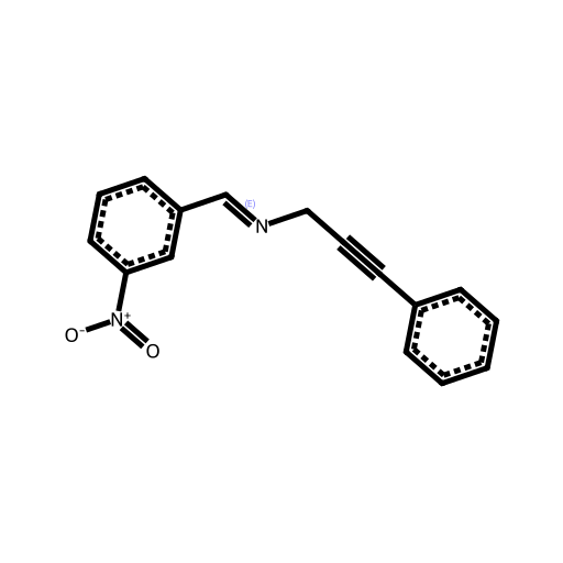 O=[N+]([O-])c1cccc(/C=N/CC#Cc2ccccc2)c1